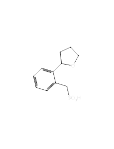 O=S(=O)(O)Cc1ccccc1C1CCCO1